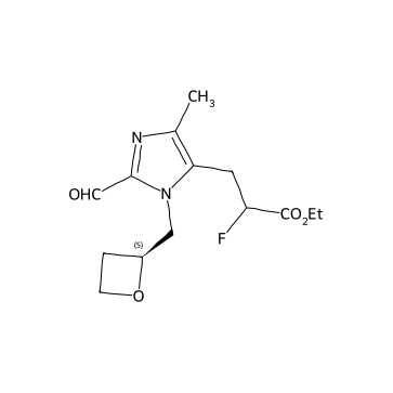 CCOC(=O)C(F)Cc1c(C)nc(C=O)n1C[C@@H]1CCO1